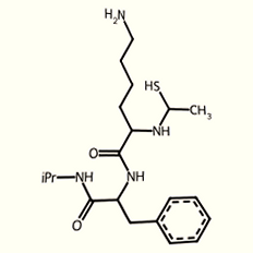 CC(C)NC(=O)C(Cc1ccccc1)NC(=O)C(CCCCN)NC(C)S